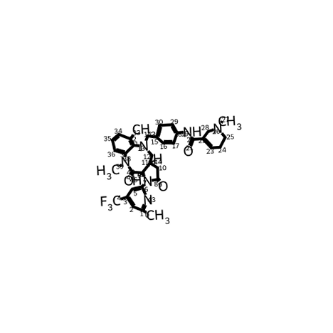 Cc1cc(C(F)(F)F)cc(N2C(=O)C[C@@H]3CN(Cc4ccc(NC(=O)C5=CCCN(C)C5)cc4)c4c(C)cccc4N(C)C(=O)[C@H]32)n1